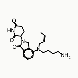 C/C=C\CN(CCCCN)c1cccc2c1CN(C1CCC(=O)NC1=O)C2=O